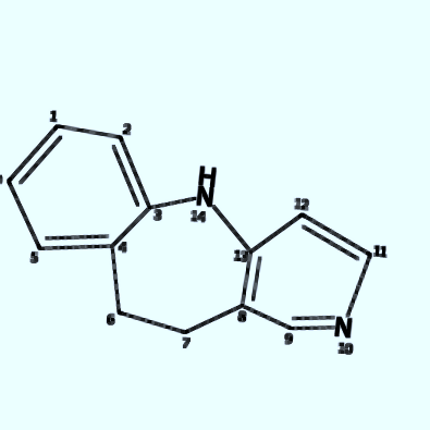 c1ccc2c(c1)CCc1cnccc1N2